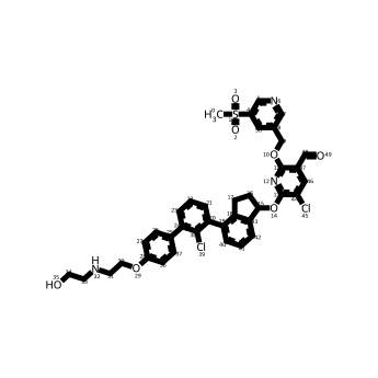 CS(=O)(=O)c1cncc(COc2nc(OC3CCc4c(-c5cccc(-c6ccc(OCCNCCO)cc6)c5Cl)cccc43)c(Cl)cc2C=O)c1